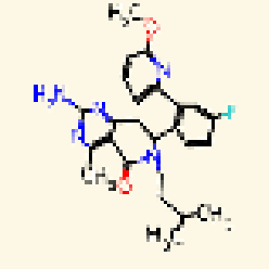 COc1cccc(-c2cc(F)ccc2C2Cc3nc(N)nc(C)c3C(=O)N2CCC(C)C)n1